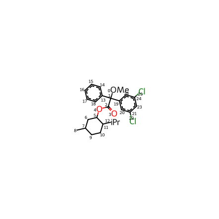 COC(C(=O)OC1CC(C)CCC1C(C)C)(c1ccccc1)c1cc(Cl)cc(Cl)c1